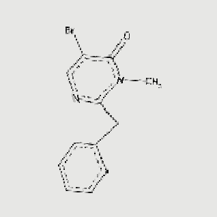 Cn1c(Cc2ccccc2)ncc(Br)c1=O